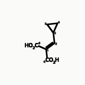 O=C(O)C(=CC1CC1)C(=O)O